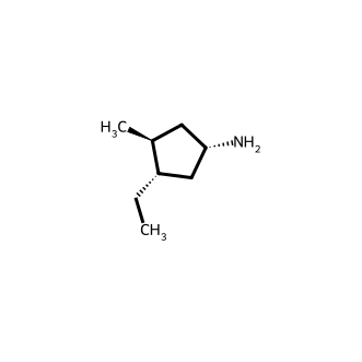 CC[C@H]1C[C@@H](N)C[C@@H]1C